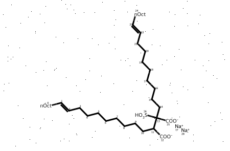 CCCCCCCCC=CCCCCCCCCC(C(=O)[O-])C(CCCCCCCCC=CCCCCCCCC)(C(=O)[O-])S(=O)(=O)O.[Na+].[Na+]